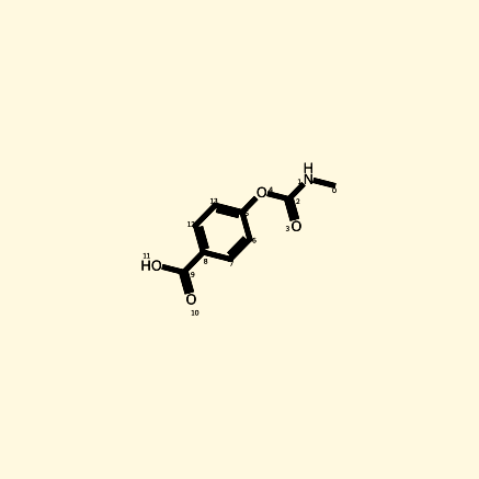 CNC(=O)Oc1ccc(C(=O)O)cc1